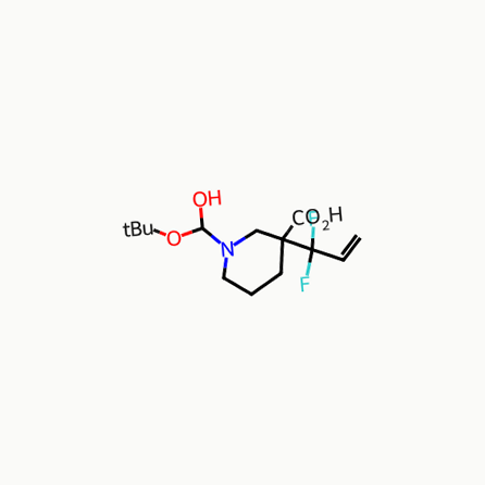 C=CC(F)(F)C1(C(=O)O)CCCN(C(O)OC(C)(C)C)C1